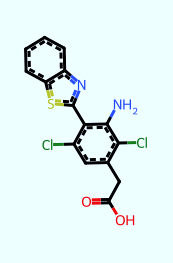 Nc1c(Cl)c(CC(=O)O)cc(Cl)c1-c1nc2ccccc2s1